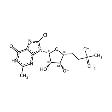 C=P(C)(C)CC[C@H]1O[C@@H](n2c(Cl)nc3c(=O)[nH]c(C)nc32)[C@H](O)[C@@H]1O